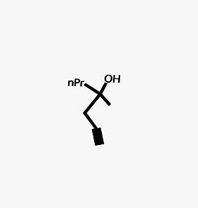 C#CCC(C)(O)CCC